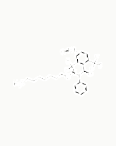 CCCCCCCCOC(=O)C(C(=O)c1c(C(F)(F)F)cccc1C(F)(F)F)c1ccccc1.O=[PH3]